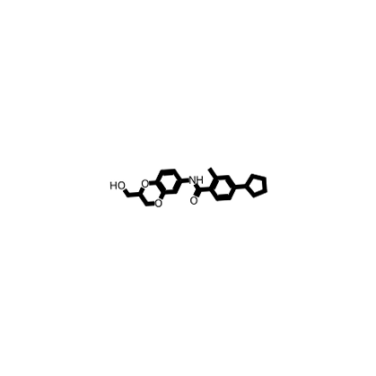 Cc1cc(C2CCCC2)ccc1C(=O)Nc1ccc2c(c1)OCC(CO)O2